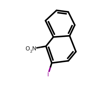 O=[N+]([O-])c1c(I)ccc2ccccc12